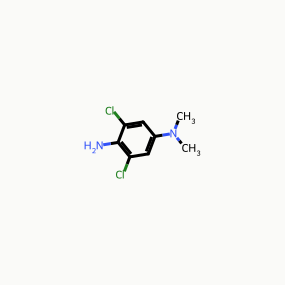 CN(C)c1cc(Cl)c(N)c(Cl)c1